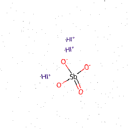 [IH+].[IH+].[IH+].[O]=[Sb]([O-])([O-])[O-]